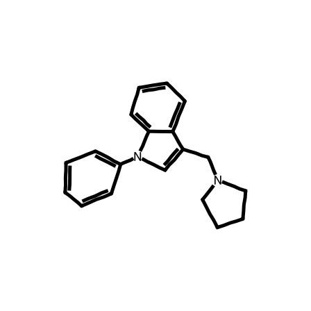 c1ccc(-n2cc(CN3CCCC3)c3ccccc32)cc1